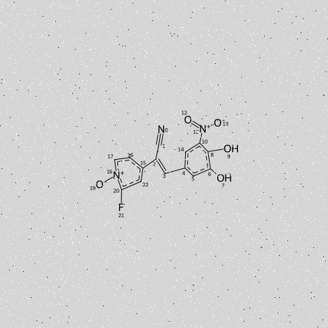 N#CC(=Cc1cc(O)c(O)c([N+](=O)[O-])c1)c1cc[n+]([O-])c(F)c1